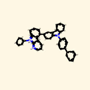 c1ccc(-c2ccc(-n3c4ccccc4c4cc(-c5cccc6c5c5cccnc5n6-c5ccccc5)ccc43)cc2)cc1